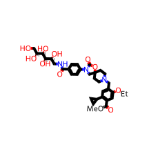 CCOc1cc(C(=O)OC)c(C2CC2)cc1CN1CCC2(CC1)CN(c1ccc(C(=O)NC[C@H](O)[C@@H](O)[C@H](O)[C@H](O)CO)cc1)C(=O)O2